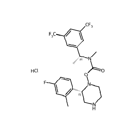 Cc1cc(F)ccc1[C@H]1CNCCN1OC(=O)N(C)[C@H](C)c1cc(C(F)(F)F)cc(C(F)(F)F)c1.Cl